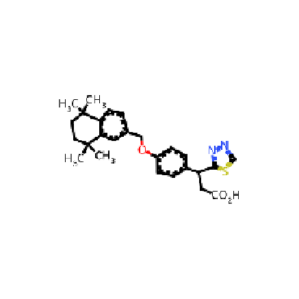 CC1(C)CCC(C)(C)c2cc(COc3ccc(C(CC(=O)O)c4nncs4)cc3)ccc21